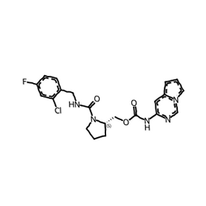 O=C(Nc1cc2cccn2cn1)OC[C@@H]1CCCN1C(=O)NCc1ccc(F)cc1Cl